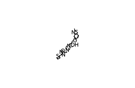 Cc1nc2cc(OC[C@H](O)CN3CCN(Cc4nc(-c5cccs5)no4)C[C@@H]3C)ccc2s1